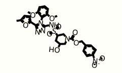 COc1cccc(OC)c1-n1c(NS(=O)(=O)C2CC(O)CN(C(=O)OCc3ccc([N+](=O)[O-])cc3)C2)nnc1-c1ccc(C)o1